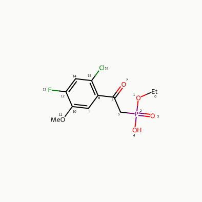 CCOP(=O)(O)CC(=O)c1cc(OC)c(F)cc1Cl